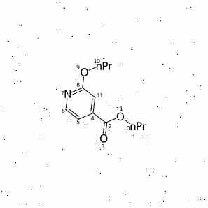 CCCOC(=O)c1ccnc(OCCC)c1